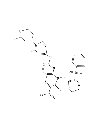 CC1CN(c2ccc(Nc3ncc4cc(C(=O)C(C)C)c(=O)n(Cc5cnccc5S(=O)(=O)c5ccccc5)c4n3)cc2F)CC(C)N1